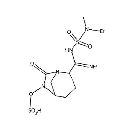 CCN(C)S(=O)(=O)NC(=N)C1CCC2CN1C(=O)N2OS(=O)(=O)O